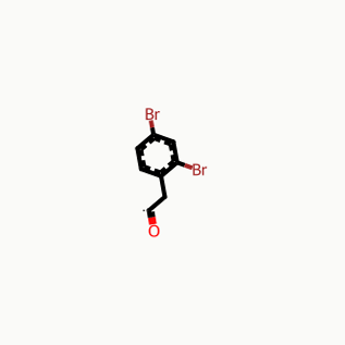 O=[C]Cc1ccc(Br)cc1Br